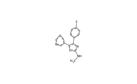 CNc1nc(-c2ccc(F)cc2)c(-c2cccnc2)s1